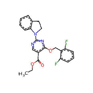 CCOC(=O)c1cnc(N2CCc3ccccc32)nc1OCc1c(F)cccc1F